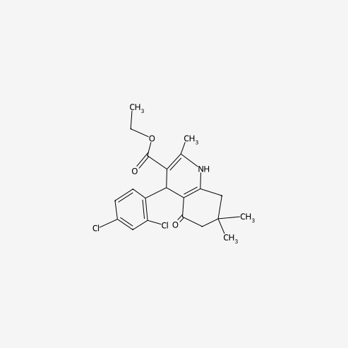 CCOC(=O)C1=C(C)NC2=C(C(=O)CC(C)(C)C2)C1c1ccc(Cl)cc1Cl